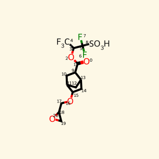 O=C(OC(C(F)(F)F)C(F)(F)S(=O)(=O)O)C1CC2CC1CC2OCC1CO1